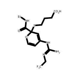 CCNC(=O)C1(SCCCC(=O)O)C=C(NC(N)=NCC(F)(F)F)C=CO1